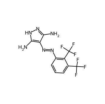 Nc1n[nH]c(N)c1N=Nc1cccc(C(F)(F)F)c1C(F)(F)F